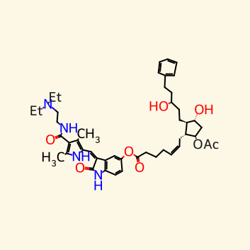 CCN(CC)CCNC(=O)c1c(C)[nH]c(/C=C2\C(=O)Nc3ccc(OC(=O)CCC/C=C\C[C@@H]4[C@@H](CC[C@@H](O)CCc5ccccc5)[C@H](O)C[C@@H]4OC(C)=O)cc32)c1C